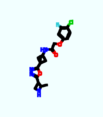 CC1NCC1c1nnc(C23CC(NC(=O)COc4ccc(Cl)c(F)c4)(C2)C3)o1